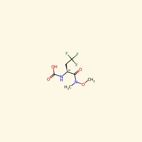 CON(C)C(=O)[C@H](CC(F)(F)F)NC(=O)O